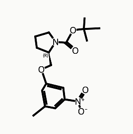 Cc1cc(OC[C@H]2CCCN2C(=O)OC(C)(C)C)cc([N+](=O)[O-])c1